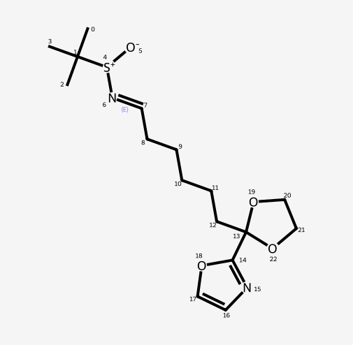 CC(C)(C)[S+]([O-])/N=C/CCCCCC1(c2ncco2)OCCO1